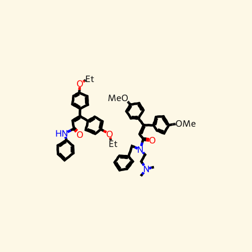 CCOc1ccc(C(=CC(=O)Nc2ccccc2)c2ccc(OCC)cc2)cc1.COc1ccc(C(=CC(=O)N(CCN(C)C)Cc2ccccc2)c2ccc(OC)cc2)cc1